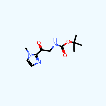 Cn1ccnc1C(=O)CNC(=O)OC(C)(C)C